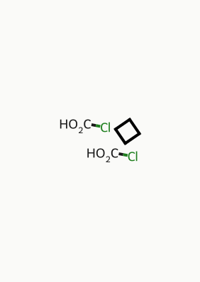 C1CCC1.O=C(O)Cl.O=C(O)Cl